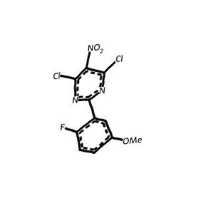 COc1ccc(F)c(-c2nc(Cl)c([N+](=O)[O-])c(Cl)n2)c1